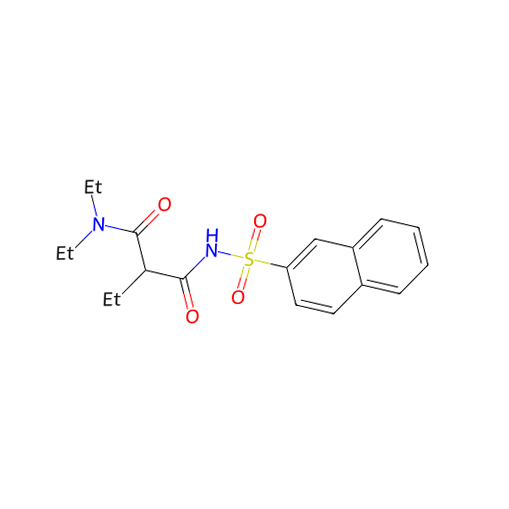 CCC(C(=O)NS(=O)(=O)c1ccc2ccccc2c1)C(=O)N(CC)CC